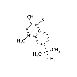 Cc1cn(C)c2cc(C(C)(C)C)ccc2c1=S